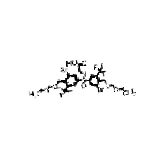 CCOCOCc1c(Br)cc(S(=O)(=NCC(=O)O)c2cc(Br)c(COCOCC)c(C(F)(F)F)c2)cc1C(F)(F)F